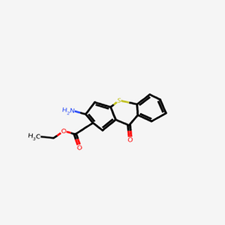 CCOC(=O)c1cc2c(=O)c3ccccc3sc2cc1N